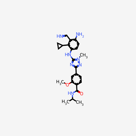 COc1cc(-c2nc(Nc3ccc(N)c(C=N)c3C3CC3)n(C)n2)ccc1C(=O)NC(C)C